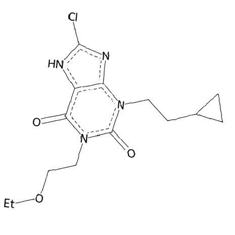 CCOCCn1c(=O)c2[nH]c(Cl)nc2n(CCC2CC2)c1=O